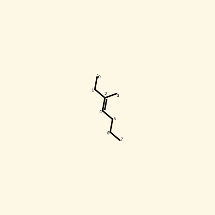 [CH2]C/C(C)=C/CCC